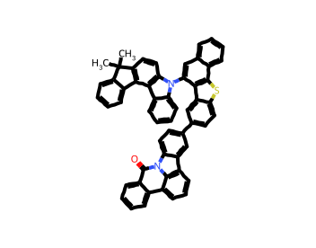 CC1(C)c2ccccc2-c2c1ccc1c2c2ccccc2n1-c1cc2ccccc2c2sc3ccc(-c4ccc5c(c4)c4cccc6c7ccccc7c(=O)n5c64)cc3c12